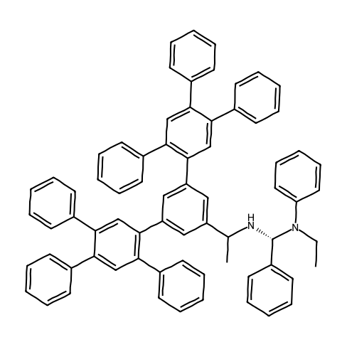 CCN(c1ccccc1)[C@@H](NC(C)c1cc(-c2cc(-c3ccccc3)c(-c3ccccc3)cc2-c2ccccc2)cc(-c2cc(-c3ccccc3)c(-c3ccccc3)cc2-c2ccccc2)c1)c1ccccc1